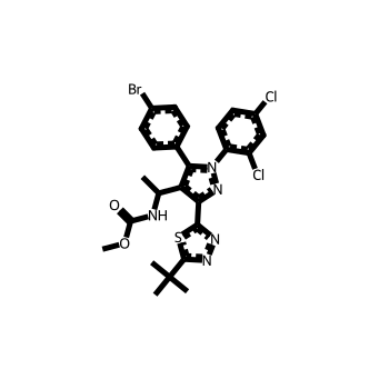 COC(=O)NC(C)c1c(-c2nnc(C(C)(C)C)s2)nn(-c2ccc(Cl)cc2Cl)c1-c1ccc(Br)cc1